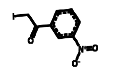 O=C(CI)c1cccc([N+](=O)[O-])c1